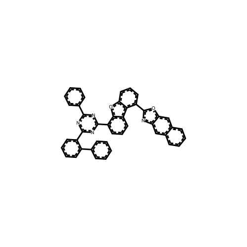 c1ccc(-c2nc(-c3ccccc3-c3ccccc3)nc(-c3cccc4c3oc3cccc(-c5nc6cc7ccccc7cc6o5)c34)n2)cc1